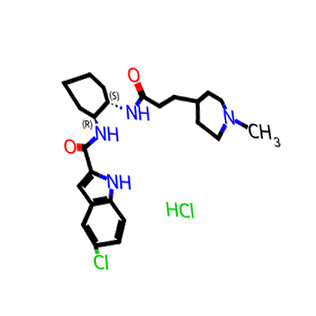 CN1CCC(CCC(=O)N[C@H]2CCCC[C@H]2NC(=O)c2cc3cc(Cl)ccc3[nH]2)CC1.Cl